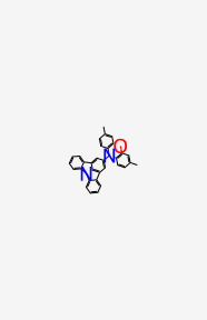 Cc1ccc2c(c1)Oc1cc(C)ccc1N2c1cc2c3ccccc3n3c4ccccc4c(c1)c23